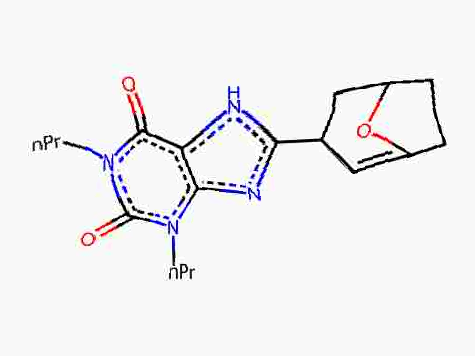 CCCn1c(=O)c2[nH]c(C3C=C4CCC(C3)O4)nc2n(CCC)c1=O